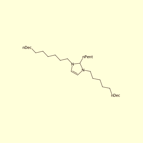 CCCCCCCCCCCCCCCCN1C=CN(CCCCCCCCCCCCCCC)C1CCCCC